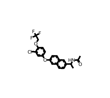 CC(=O)NC(C)c1ccc2cc(Oc3ccc(OCC(F)(F)F)c(Cl)c3)ccc2c1